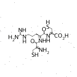 N=C(N)NCCC[C@H](NC(=O)[C@@H](N)CS)C(=O)N[C@@H](CS)C(=O)O